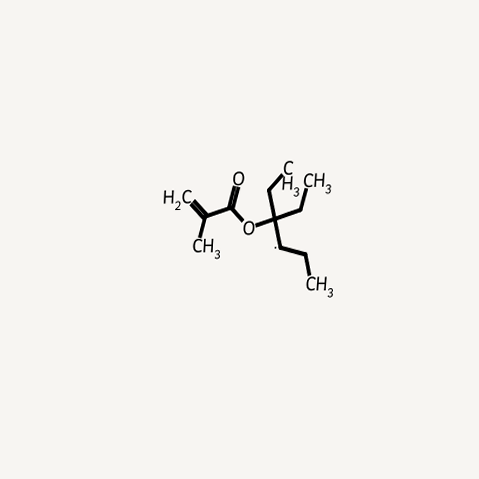 C=C(C)C(=O)OC([CH]CC)(CC)CC